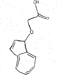 O=C(O)COC1C=Cc2ccccc21